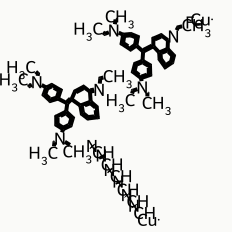 C#N.C#N.C#N.C#N.C#N.C#N.CCN=C1C=CC(=C(c2ccc(N(CC)CC)cc2)c2ccc(N(CC)CC)cc2)c2ccccc21.CCN=C1C=CC(=C(c2ccc(N(CC)CC)cc2)c2ccc(N(CC)CC)cc2)c2ccccc21.[Cu].[Cu].[Fe]